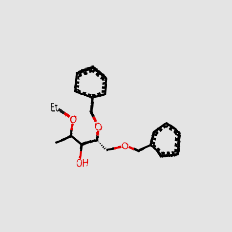 CCOC(C)C(O)[C@@H](COCc1ccccc1)OCc1ccccc1